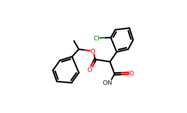 CC(OC(=O)C(C(=O)N=O)c1ccccc1Cl)c1ccccc1